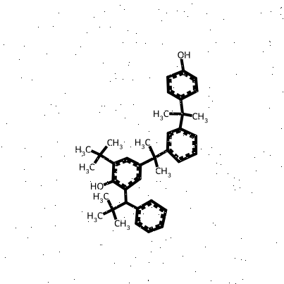 CC(C)(C)c1cc(C(C)(C)c2cccc(C(C)(C)c3ccc(O)cc3)c2)cc(C(c2ccccc2)C(C)(C)C)c1O